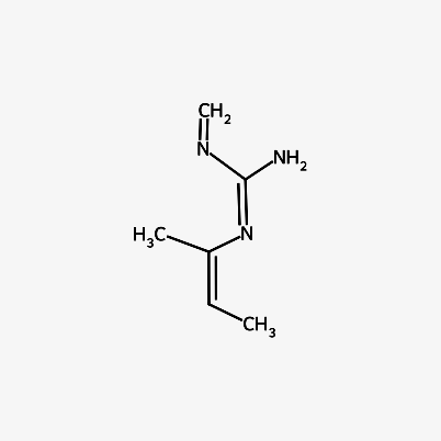 C=N/C(N)=N\C(C)=C/C